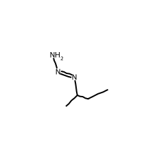 CCC(C)N=NN